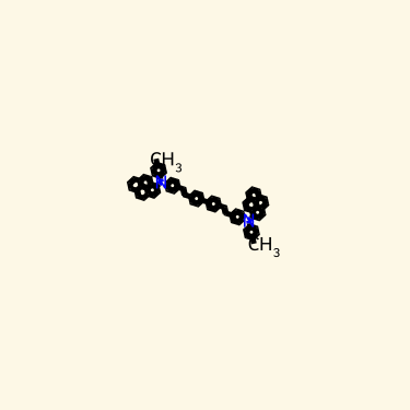 Cc1ccc(N(c2ccc(C=Cc3ccc(-c4ccc(C=Cc5ccc(N(c6ccc(C)cc6)c6ccc7ccc8cccc9ccc6c7c89)cc5)cc4)cc3)cc2)c2ccc3c4c5c(ccc24)C=CCC5=CC3)cc1